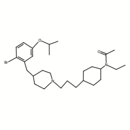 CCN(C(C)=O)C1CCC(CCCN2CCC(Cc3cc(OC(C)C)ccc3Br)CC2)CC1